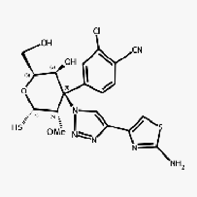 CO[C@@H]1[C@H](S)O[C@@H](CO)[C@@H](O)[C@@]1(c1ccc(C#N)c(Cl)c1)n1cc(-c2csc(N)n2)nn1